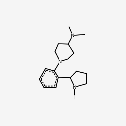 CN(C)C1CCN(c2ccccc2C2CCCN2I)CC1